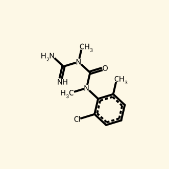 Cc1cccc(Cl)c1N(C)C(=O)N(C)C(=N)N